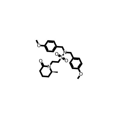 COc1ccc(CN(Cc2ccc(OC)cc2)S(=O)(=O)CCN2C(=O)CCC[C@@H]2C)cc1